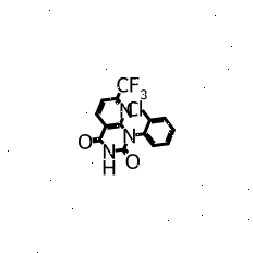 O=c1[nH]c(=O)n(-c2ccccc2Cl)c2nc(C(F)(F)F)ccc12